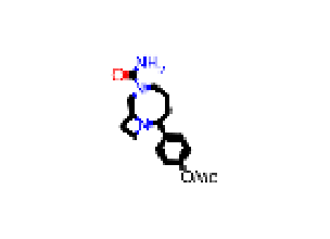 COc1ccc(C2CCCN(C(N)=O)CC3CCN32)cc1